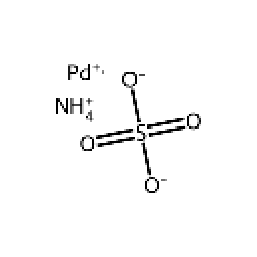 O=S(=O)([O-])[O-].[NH4+].[Pd+]